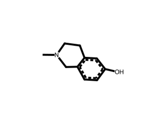 CN1CCc2cc(O)ccc2C1